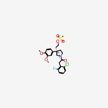 COc1ccc([C@@]2(CCOS(C)(=O)=O)CCN(C(=O)Cc3c(F)cccc3Cl)C2)cc1OC